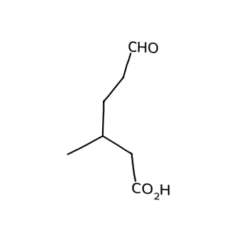 CC(CCC=O)CC(=O)O